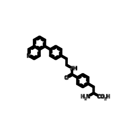 NC(Cc1ccc(C(=O)NCCc2ccc(-c3cccc4cnccc34)cc2)cc1)C(=O)O